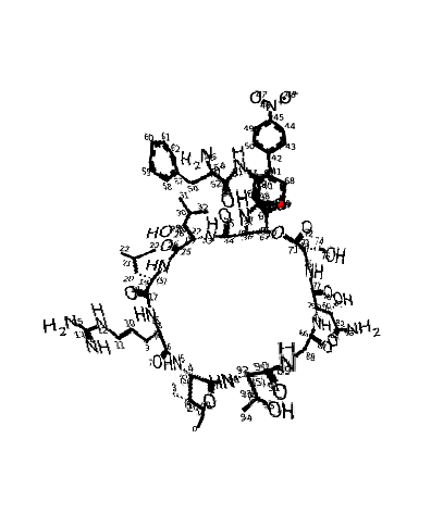 CC[C@H](C)[C@@H]1NC(=O)[C@@H](CCCNC(=N)N)NC(=O)[C@H](CC(C)C)NC(=O)[C@H]([C@H](O)C(C)C)NC(=O)[C@@H](NC(=O)[C@H](Cc2ccc([N+](=O)[O-])cc2)NC(=O)[C@H](N)Cc2ccccc2)[C@@H](c2ccccc2)OC(=O)[C@H](CO)NC(=O)[C@H]([C@H](O)C(N)=O)NC(=O)CNC(=O)[C@H]([C@H](C)O)NC1=O